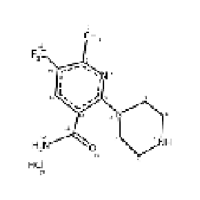 Cc1nc(N2CCNCC2)c(C(N)=O)cc1C(F)(F)F.Cl